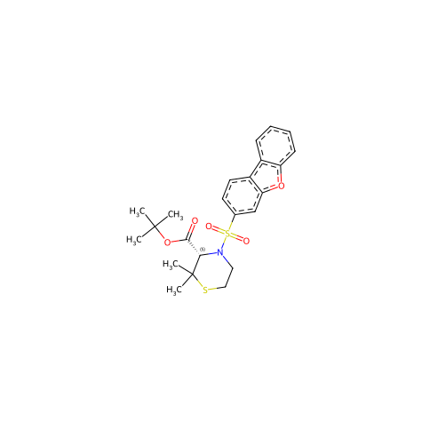 CC(C)(C)OC(=O)[C@@H]1N(S(=O)(=O)c2ccc3c(c2)oc2ccccc23)CCSC1(C)C